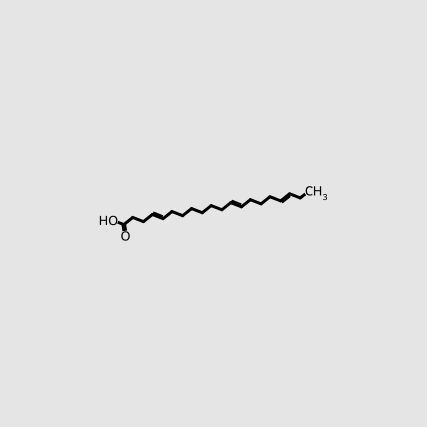 CCC=CCCCC=CCCCCCCC=CCCC(=O)O